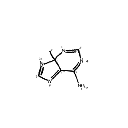 CC12N=CN=C(N)C1=NC=N2